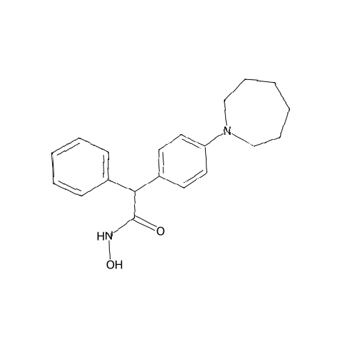 O=C(NO)C(c1ccccc1)c1ccc(N2CCCCCC2)cc1